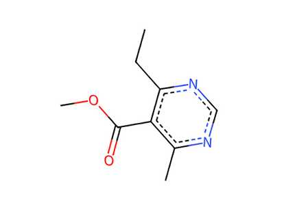 CCc1ncnc(C)c1C(=O)OC